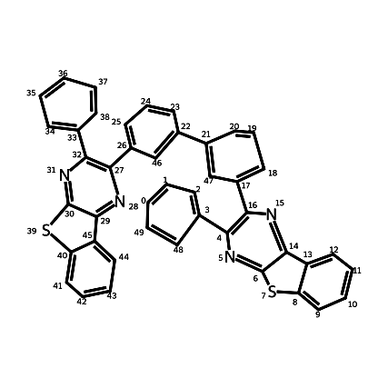 c1ccc(-c2nc3sc4ccccc4c3nc2-c2cccc(-c3cccc(-c4nc5c(nc4-c4ccccc4)sc4ccccc45)c3)c2)cc1